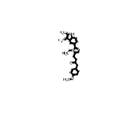 CCn1c(CCC(=O)Cc2ccc(OC)cc2)cnc1-c1ccc2[nH]c(C)c(C)c2c1